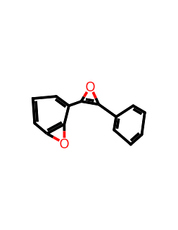 c1ccc(C2=C(c3cccc4c3O4)O2)cc1